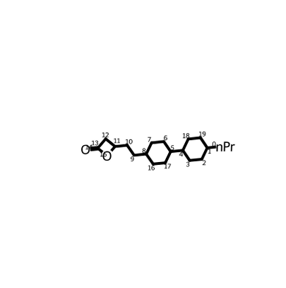 CCCC1CCC(C2CCC(CCC3CC(=O)O3)CC2)CC1